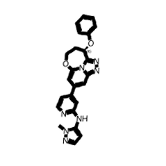 Cn1nccc1Nc1cc(-c2cc3n4c(nnc4c2)[C@H](Oc2ccccc2)CCO3)ccn1